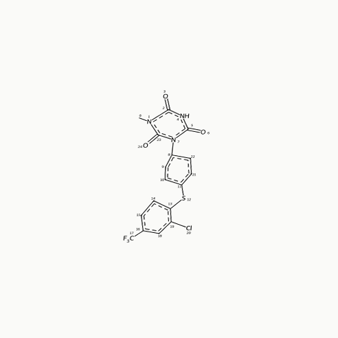 Cn1c(=O)[nH]c(=O)n(-c2ccc(Sc3ccc(C(F)(F)F)cc3Cl)cc2)c1=O